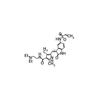 C=CS(=O)(=O)Nc1ccc2c(c1)/C(=C/c1[nH]c(C)c(C(=O)NCCN(CC)CC)c1C)C(=O)N2